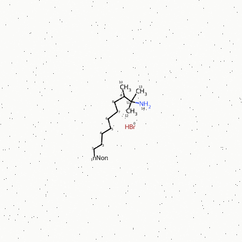 Br.CCCCCCCCCCCCCCCCC(C)C(C)(C)N